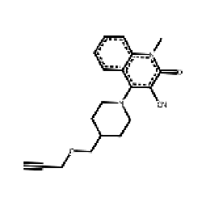 C#CCOCC1CCN(c2c(C#N)c(=O)n(C)c3ccccc23)CC1